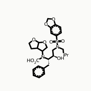 CC(C)CN(C[C@@H](O)[C@H](Cc1ccccc1)N(C(=O)O)C1COC2OCCC21)S(=O)(=O)c1ccc2c(c1)OCO2